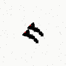 Cc1cc(C)c(B(c2ccc3c(c2)CN2CN3Cc3cc(-c4ccc(N(C)C)cc4)ccc32)c2c(C)cc(C)cc2C)c(C)c1.Cc1cc(C)c(B(c2ccc3c(c2)CN2CN3Cc3cc(-c4ccc(N(C)C)cc4)ccc32)c2c(C)cc(C)cc2C)c(C)c1